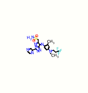 CCN(CCC(F)(F)F)c1ccc(/N=C2/C(CS(N)(=O)=O)=Nn3c2nnc3-c2cnccn2)c(C)c1